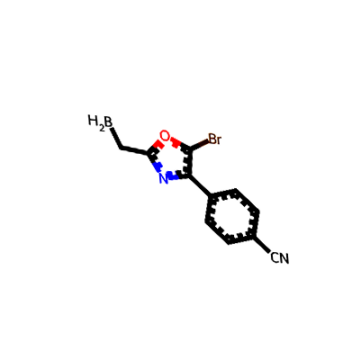 BCc1nc(-c2ccc(C#N)cc2)c(Br)o1